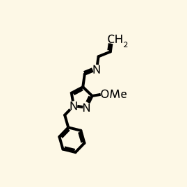 C=CC/N=C/c1cn(Cc2ccccc2)nc1OC